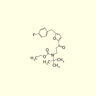 CCOC(=O)N(CCC(=O)c1ccc(Cc2ccc(F)cc2)o1)C(C)(C)C